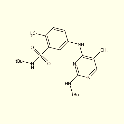 Cc1ccc(Nc2nc(NC(C)(C)C)ncc2C)cc1S(=O)(=O)NC(C)(C)C